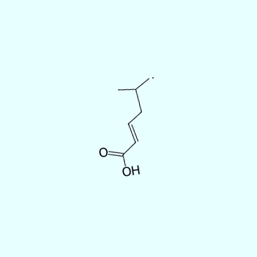 [CH2]C(C)CC=CC(=O)O